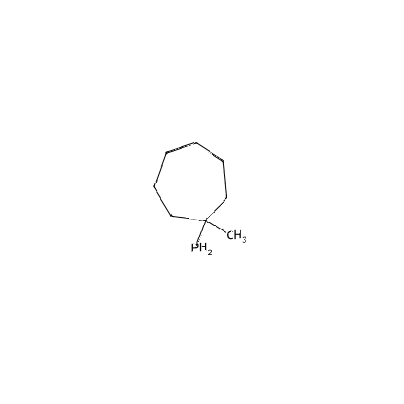 CC1(P)CCCCCC1